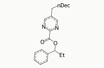 CCCCCCCCCCCc1cnc(C(=O)OC(CC)c2ccccc2)nc1